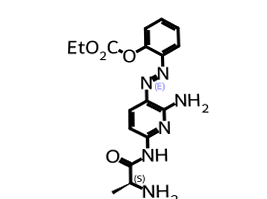 CCOC(=O)Oc1ccccc1/N=N/c1ccc(NC(=O)[C@H](C)N)nc1N